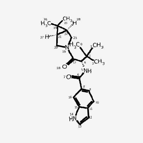 CC(C)(C)[C@H](NC(=O)c1ccc2cc[nH]c2c1)C(=O)N1C[C@@H]2[C@H](C1)C2(C)C